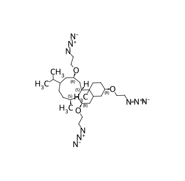 CC(C)C1CC[C@H](C)C2[C@H](OCCN=[N+]=[N-])CC3C[C@H](OCCN=[N+]=[N-])CCC3(C)[C@H]2C[C@H](OCCN=[N+]=[N-])C1